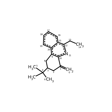 C=C1CC(C(C)(C)C)Cc2c1nc(CC)c1ccccc21